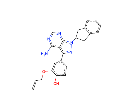 C=CCOc1cc(-c2nn(C3Cc4ccccc4C3)c3ncnc(N)c23)ccc1O